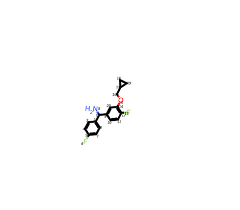 NC(c1ccc(F)cc1)c1ccc(F)c(OCC2CC2)c1